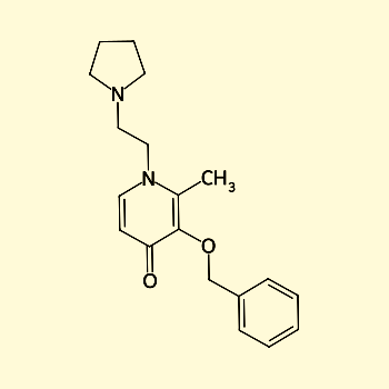 Cc1c(OCc2ccccc2)c(=O)ccn1CCN1CCCC1